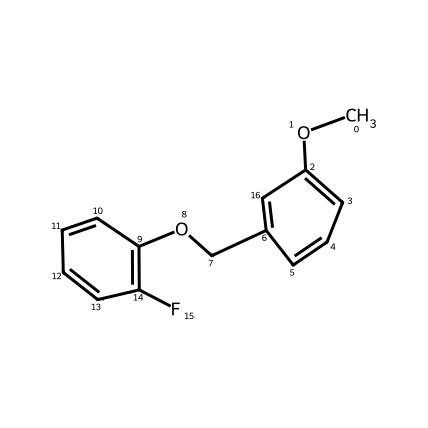 COc1cccc(COc2ccc[c]c2F)c1